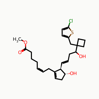 COC(=O)CCC/C=C\CC1=CC[C@@H](O)[C@@H]1/C=C/CC(O)C1(Cc2ccc(Cl)s2)CCC1